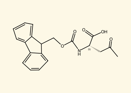 CC(=O)C[C@H](NC(=O)OCC1c2ccccc2-c2ccccc21)C(=O)O